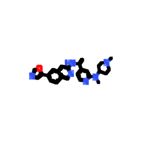 C=C(Nc1cc2cc(-c3cnco3)ccc2cn1)c1ccnc(N(C)C2CCN(C)CC2)c1